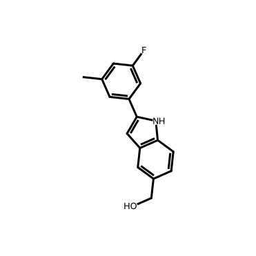 Cc1cc(F)cc(-c2cc3cc(CO)ccc3[nH]2)c1